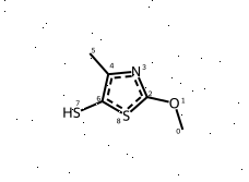 COc1nc(C)c(S)s1